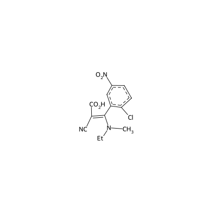 CCN(C)C(=C(C#N)C(=O)O)c1cc([N+](=O)[O-])ccc1Cl